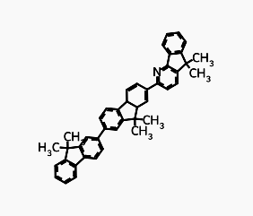 CC1(C)c2ccccc2-c2ccc(-c3ccc4c(c3)C(C)(C)C3C=C(c5ccc6c(n5)-c5ccccc5C6(C)C)C=CC43)cc21